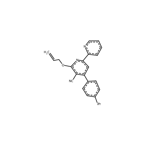 C=CCOc1nc(-c2ccccn2)cc(-c2ccc(C(C)C)cc2)c1C#N